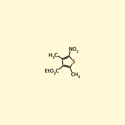 CCOC(=O)c1c(C)sc([N+](=O)[O-])c1C